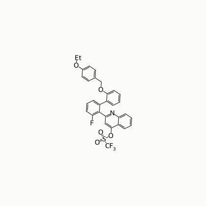 CCOc1ccc(COc2ccccc2-c2cccc(F)c2-c2cc(OS(=O)(=O)C(F)(F)F)c3ccccc3n2)cc1